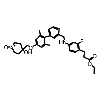 CCOC(=O)CCc1ccc(NCc2cccc(-c3c(C)cc(OCC4(O)CC[S+]([O-])CC4)cc3C)c2)cc1F